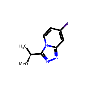 CO[C@@H](C)c1nnc2cc(I)ccn12